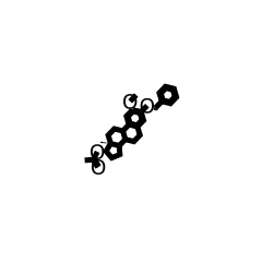 COc1cc2c(cc1OCc1ccccc1)CCC1C2CC[C@@]2(C)C1CC[C@@H]2OC(C)=O